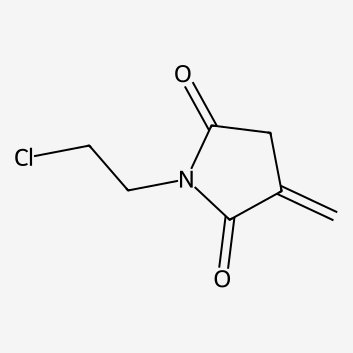 C=C1CC(=O)N(CCCl)C1=O